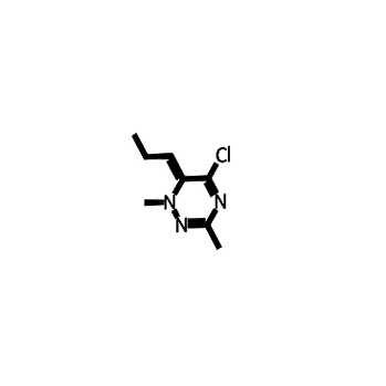 CC/C=C1/C(Cl)=NC(C)=NN1C